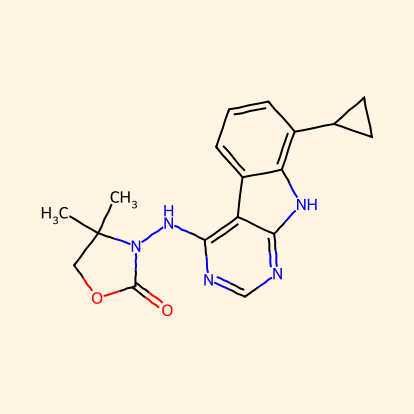 CC1(C)COC(=O)N1Nc1ncnc2[nH]c3c(C4CC4)cccc3c12